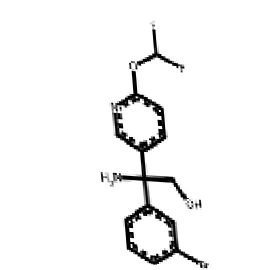 NC(CO)(c1ccc(OC(F)F)nc1)c1cccc(Br)c1